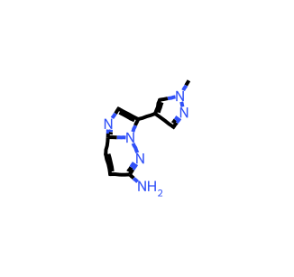 Cn1cc(-c2cnc3ccc(N)nn23)cn1